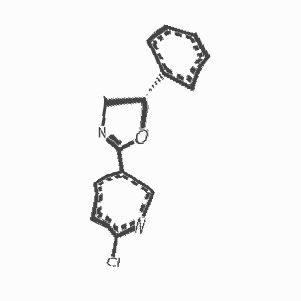 Clc1ccc(C2=NC[C@H](c3ccccc3)O2)cn1